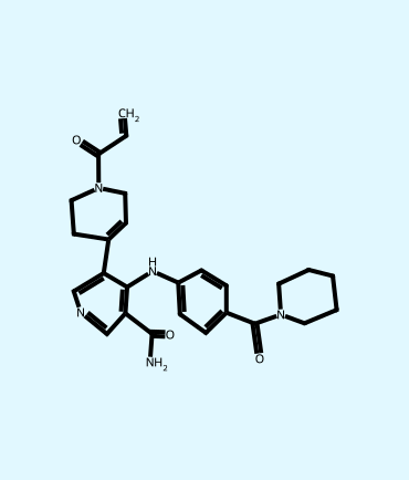 C=CC(=O)N1CC=C(c2cncc(C(N)=O)c2Nc2ccc(C(=O)N3CCCCC3)cc2)CC1